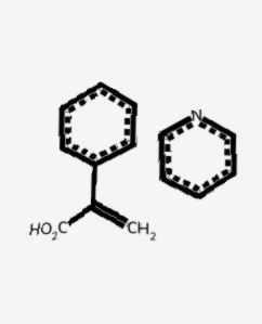 C=C(C(=O)O)c1ccccc1.c1ccncc1